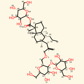 C=C(COC[C@@H]1OC(CO)[C@@H](O)C(O)C1O[C@@H]1OC(CO)[C@@H](O)C(O)C1O)C[C@@]1(C)CC[C@H]2[C@@](C)(CCC[C@@]2(C)C(=O)O[C@@H]2OC(CO)[C@@H](O)C(O)C2O)[C@@H]1CCC